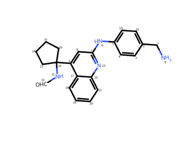 NCc1ccc(Nc2cc(C3(NC=O)CCCC3)c3ccccc3n2)cc1